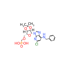 CC1(C)O[C@@H]2[C@H](O1)[C@@H](COCP(=O)(O)O)O[C@H]2n1cnc2c(NCc3ccccc3)cc(Cl)nc21